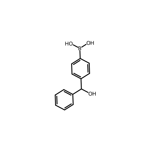 OB(O)c1ccc(C(O)c2ccccc2)cc1